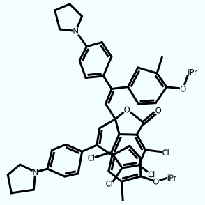 Cc1cc(C(=CC2(C=C(c3ccc(N4CCCC4)cc3)c3ccc(OC(C)C)c(C)c3)OC(=O)c3c(Cl)c(Cl)c(Cl)c(Cl)c32)c2ccc(N3CCCC3)cc2)ccc1OC(C)C